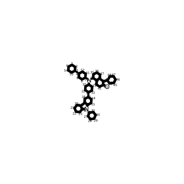 c1ccc(-c2ccc(N(c3ccc(-c4ccc5c(c4)c4ccccc4n5-c4ccccc4)cc3)c3cccc4c3ccc3oc5ccccc5c34)cc2)cc1